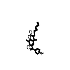 CCCCCCc1c(C)c2cc3c(-c4ccc(F)cc4)coc3c(C)c2oc1=O